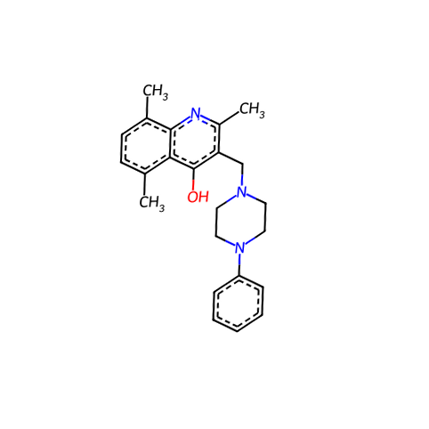 Cc1nc2c(C)ccc(C)c2c(O)c1CN1CCN(c2ccccc2)CC1